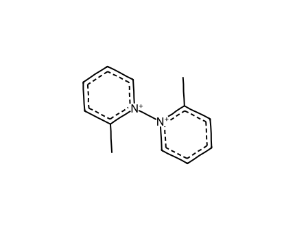 Cc1cccc[n+]1-[n+]1ccccc1C